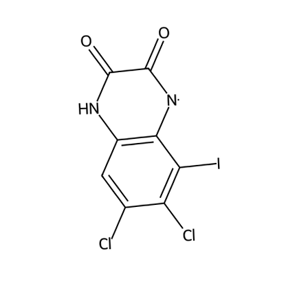 O=C1[N]c2c(cc(Cl)c(Cl)c2I)NC1=O